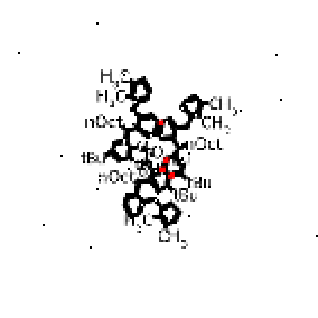 CCCCCCCCC(c1ccccc1Cc1cccc(C)c1C)c1cc(C(C)(C)C)cc(C(C)(C)C)c1OP(Oc1c(C(CCCCCCCC)c2ccccc2Cc2cccc(C)c2C)cc(C(C)(C)C)cc1C(C)(C)C)Oc1c(C(CCCCCCCC)c2ccccc2Cc2cccc(C)c2C)cc(C(C)(C)C)cc1C(C)(C)C